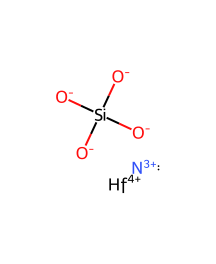 [Hf+4].[N+3].[O-][Si]([O-])([O-])[O-]